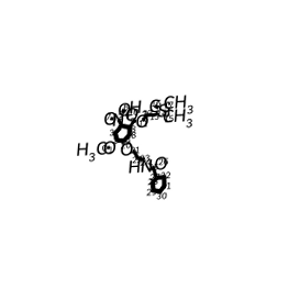 COc1cc([N+](=O)[O-])c(C(=O)OCC[Si](C)(C)C)cc1OCCCNC(=O)c1ccccc1